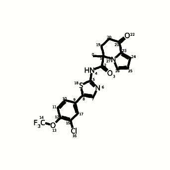 CC1(C(=O)Nc2ncc(-c3ccc(OC(F)(F)F)c(Cl)c3)s2)CCC(=O)c2cccn21